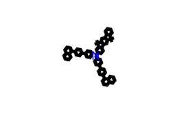 CC1(C)c2ccccc2-c2cc3c(cc21)-c1ccc(N(c2ccc(-c4ccc(-c5cccc6ccccc56)cc4)cc2)c2ccc(-c4ccc(-c5cccc6ccccc56)cc4)cc2)cc1C3(C)C